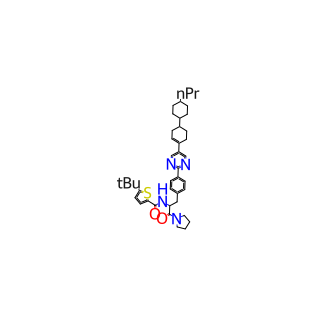 CCCC1CCC(C2CC=C(c3cnc(-c4ccc(CC(NC(=O)c5ccc(C(C)(C)C)s5)C(=O)N5CCCC5)cc4)nc3)CC2)CC1